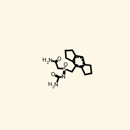 NC(=O)CS(=O)(Cc1c2c(cc3c1CCC3)CCC2)=NC(N)=O